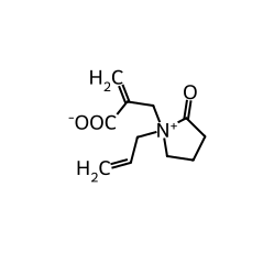 C=CC[N+]1(CC(=C)C(=O)[O-])CCCC1=O